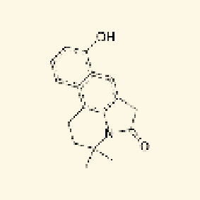 CC1(C)CCc2c3c(cc4c(O)cccc24)CC(=O)N31